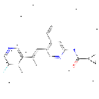 C=Cc1cc(NC(=O)C2CC2)ncc1/C=C(\C)c1cncc(F)c1C